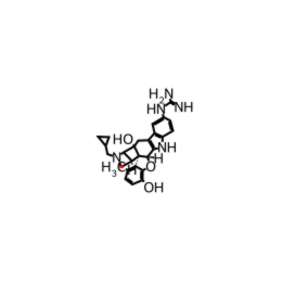 Cc1ccc(O)c2c1[C@@]13[C@@H](O2)c2[nH]c4ccc(NC(=N)N)cc4c2C[C@@]1(O)C1[C@@H]3CN1CC1CC1